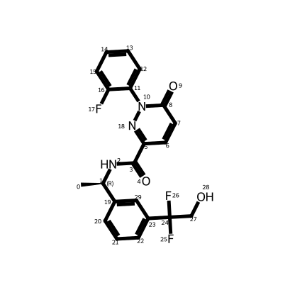 C[C@@H](NC(=O)c1ccc(=O)n(-c2ccccc2F)n1)c1cccc(C(F)(F)CO)c1